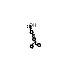 O=C(O)CCc1ccc(OCc2ccc(CN(Cc3ccccc3)Cc3ccccc3)cc2)cc1